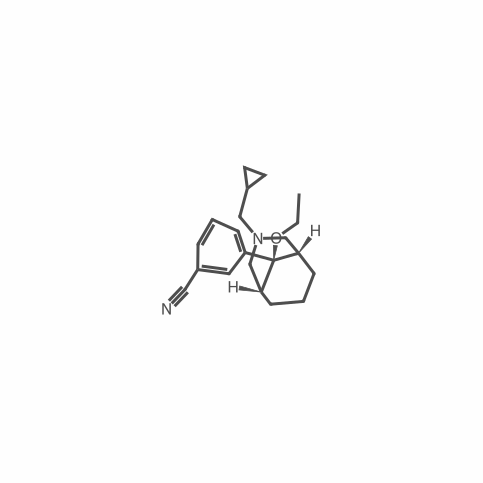 CCO[C@]1(c2cccc(C#N)c2)[C@@H]2CCC[C@H]1CN(CC1CC1)C2